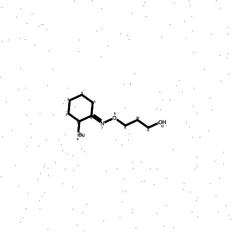 CCC(C)C1CCCCC1=NOCCCO